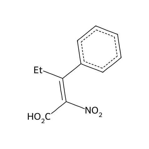 CCC(=C(C(=O)O)[N+](=O)[O-])c1ccccc1